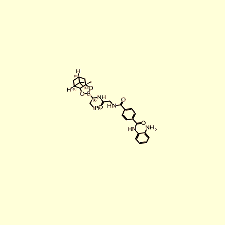 CC(C)C[C@H](NC(=O)CNC(=O)c1ccc(C(=O)Nc2ccccc2N)cc1)B1OC2[C@@H]3C[C@H](C[C@]2(C)O1)C3(C)C